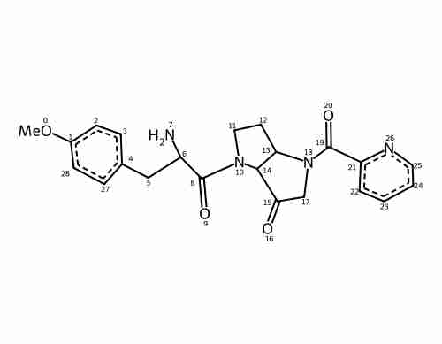 COc1ccc(CC(N)C(=O)N2CCC3C2C(=O)CN3C(=O)c2ccccn2)cc1